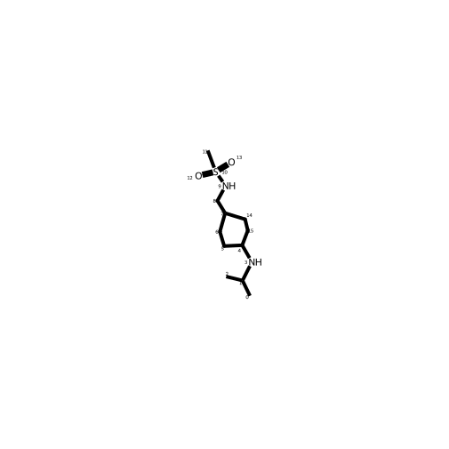 CC(C)NC1CCC(CNS(C)(=O)=O)CC1